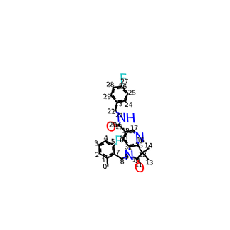 Cc1cccc(F)c1CN1C(=O)C(C)(C)c2ncc(C(=O)NCc3ccc(F)cc3)cc21